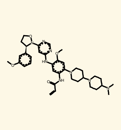 C=CC(=O)Nc1cc(Nc2cc(N3OCC[C@@H]3c3cccc(OC)c3)ncn2)c(OC)cc1N1CCC(N2CCC(N(C)C)CC2)CC1